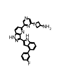 NC1CN(c2cncc(-c3ccc4[nH]nc(-c5cc6c(-c7cccc(F)c7)cccc6[nH]5)c4n3)n2)C1